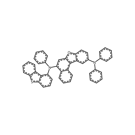 c1ccc(N(c2ccccc2)c2ccc3oc4cc(N(c5ccccc5)c5cccc6sc7ccccc7c56)c5ccccc5c4c3c2)cc1